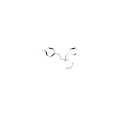 CC(C)c1ccc(CCC2(Cn3ccnc3)OCCCO2)cc1